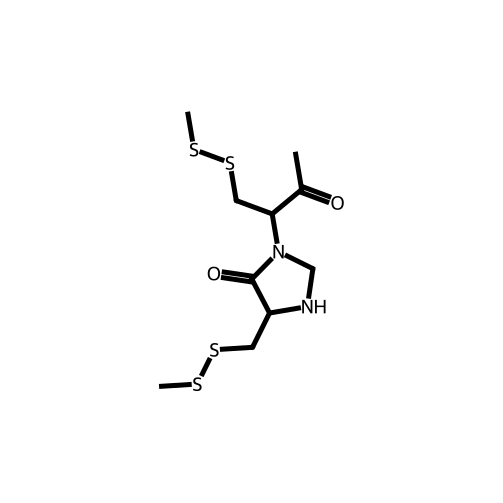 CSSCC1NCN(C(CSSC)C(C)=O)C1=O